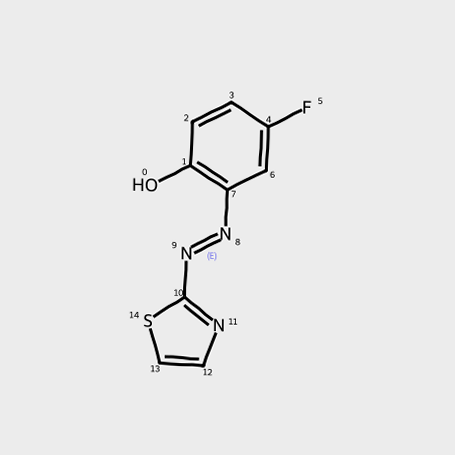 Oc1ccc(F)cc1/N=N/c1nccs1